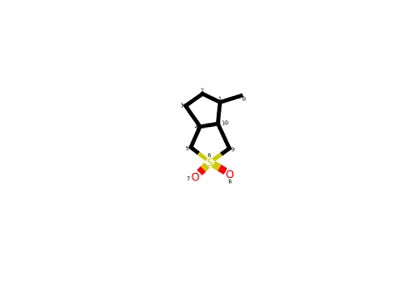 CC1CCC2CS(=O)(=O)CC12